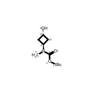 CN(C(=O)OC(C)(C)C)[C@H]1C[C@H](O)C1